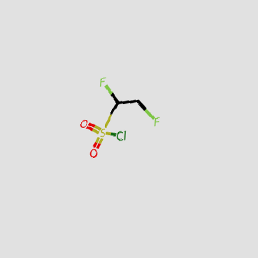 O=S(=O)(Cl)C(F)CF